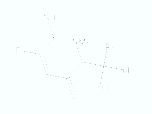 C=C(/C=C(/F)CN)C(NC)C(CC)(CCC)CCC